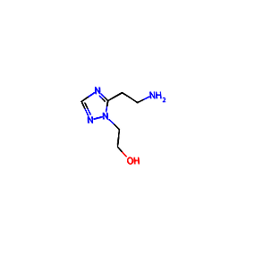 NCCc1ncnn1CCO